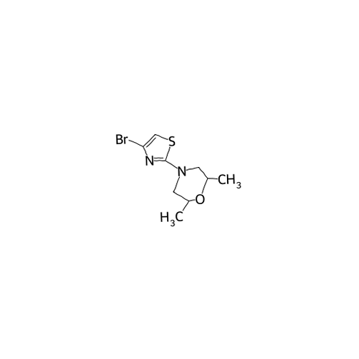 CC1CN(c2nc(Br)cs2)CC(C)O1